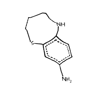 Nc1ccc2c(c1)SCCCN2